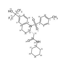 Cc1ccc(S(=O)(=O)N2c3ccc(C(O)(C(F)(F)F)C(F)(F)F)cc3CC[C@H]2CC(=O)NC2CCCCC2)cc1